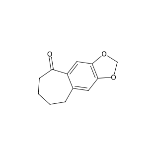 O=C1CCCCc2cc3c(cc21)OCO3